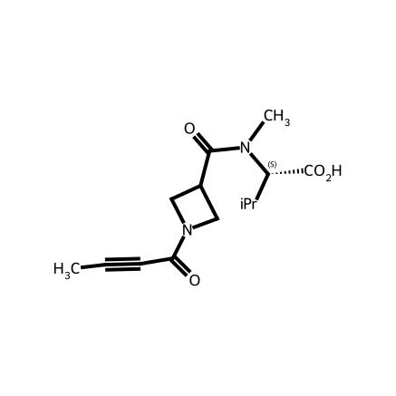 CC#CC(=O)N1CC(C(=O)N(C)[C@H](C(=O)O)C(C)C)C1